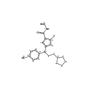 CSNC(=O)c1nc(N(CCC2CCCC2)c2ccc(C#N)cc2)sc1C